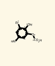 CCCc1cc(CC)c(O)c(OC(=O)O)c1